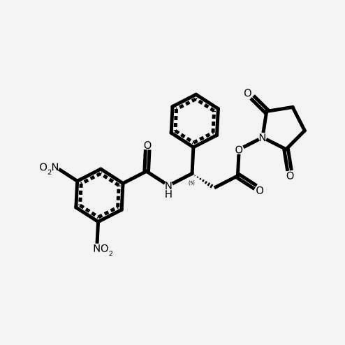 O=C(C[C@H](NC(=O)c1cc([N+](=O)[O-])cc([N+](=O)[O-])c1)c1ccccc1)ON1C(=O)CCC1=O